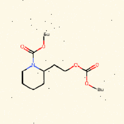 CCC(C)OC(=O)OCCC1CCCCN1C(=O)OC(C)CC